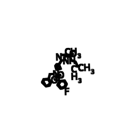 CC(C)CCC(=O)[C@@]1(C)CN=C(C23CC(N(Cc4ccccc4)S(=O)(=O)c4ccc(F)cc4)(C2)C3)N1